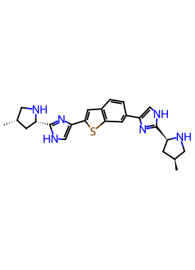 C[C@@H]1CN[C@H](c2nc(-c3ccc4cc(-c5c[nH]c([C@@H]6C[C@H](C)CN6)n5)sc4c3)c[nH]2)C1